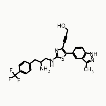 Cc1n[nH]c2ccc(-c3sc(NCC(N)Cc4ccc(C(F)(F)F)cc4)nc3C#CCO)cc12